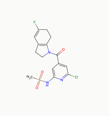 CS(=O)(=O)Nc1cc(C(=O)N2CCC3=C2CCC(F)=C3)cc(Cl)n1